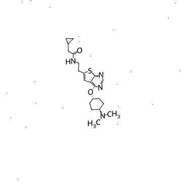 CN(C)[C@H]1CC[C@H](Oc2ncnc3sc(CCNC(=O)CC4CC4)cc23)CC1